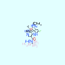 BC(B)(B)NC(=O)c1cnc(NC(=O)C2CC2)cc1Nc1cc(F)cc(-c2cnn(C)n2)c1OC